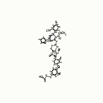 COC(=O)C1=C(CN2CCN3C(=O)N(c4ccc(Oc5ccc(CCC(=O)O)cc5F)cc4F)C[C@@H]3C2)NC(c2nccs2)=NC1c1ccc(F)cc1Cl